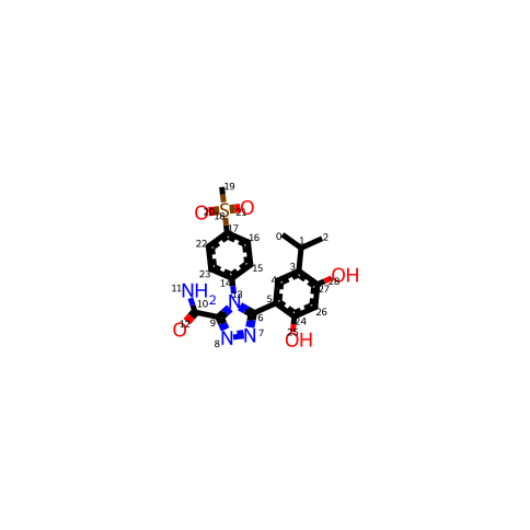 CC(C)c1cc(-c2nnc(C(N)=O)n2-c2ccc(S(C)(=O)=O)cc2)c(O)cc1O